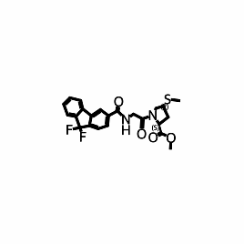 COC(=O)[C@@H]1C[C@@H](SC)CN1C(=O)CNC(=O)c1ccc2c(c1)-c1ccccc1C2(F)F